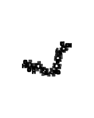 C[C@@H]1CC2(CCN(c3ccc(C(=O)N4CC(CN5CCN(c6cccc(N[C@H]7CCC(=O)NC7=O)c6)CC5)C4)cc3)CC2)CN1c1ccc(C#N)c(Cl)c1